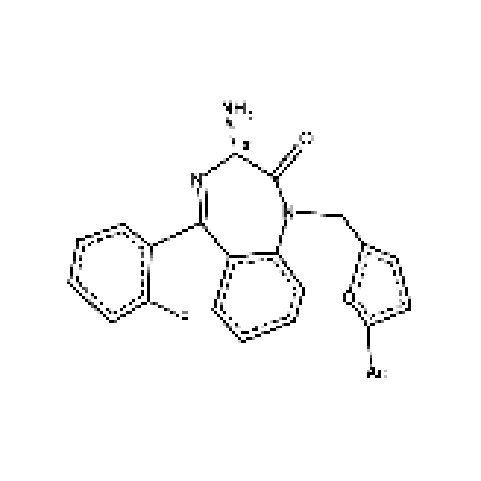 CC(=O)c1ccc(CN2C(=O)[C@@H](N)N=C(c3ccccc3F)c3ccccc32)o1